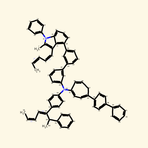 C/C=C\C=C/c1c(C)n(-c2ccccc2)c2cccc(-c3cccc(-c4cccc(N(C5=CC=C(c6ccc(-c7ccccc7)cc6)CC=C5)c5ccc(/C(=C/C=C\C)C(C)c6ccccc6)cc5)c4)c3)c12